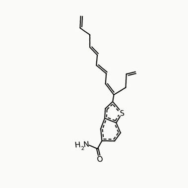 C=CCC=CC=CC=C(CC=C)c1cc2cc(C(N)=O)ccc2s1